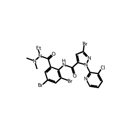 CCN(C(=O)c1cc(Br)cc(Br)c1NC(=O)c1cc(Br)nn1-c1ncccc1Cl)N(C)C